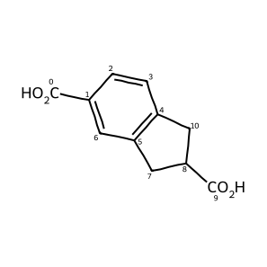 O=C(O)c1ccc2c(c1)CC(C(=O)O)C2